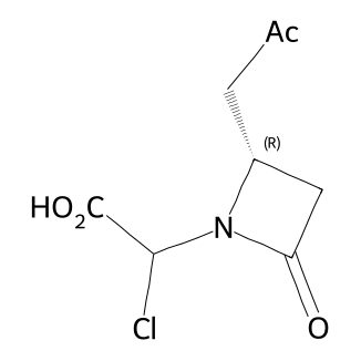 CC(=O)C[C@@H]1CC(=O)N1C(Cl)C(=O)O